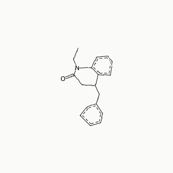 CCN1C(=O)CC(Cc2ccccc2)c2ccccc21